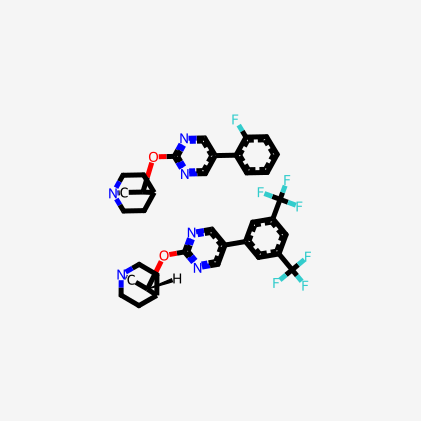 FC(F)(F)c1cc(-c2cnc(O[C@H]3CN4CCC3CC4)nc2)cc(C(F)(F)F)c1.Fc1ccccc1-c1cnc(OC2CN3CCC2CC3)nc1